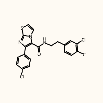 O=C(NCCc1ccc(Cl)c(Cl)c1)c1c(-c2ccc(Cl)cc2)nc2sccn12